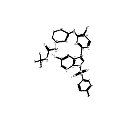 Cc1ccc(S(=O)(=O)n2cc(-c3ncc(F)c(NC4CCC[C@@H](NC(=O)OC(C)(C)C)C4)n3)c3cc(F)cnc32)cc1